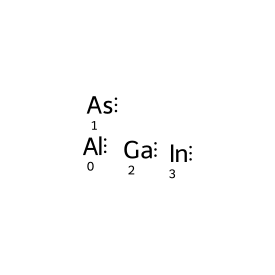 [Al].[As].[Ga].[In]